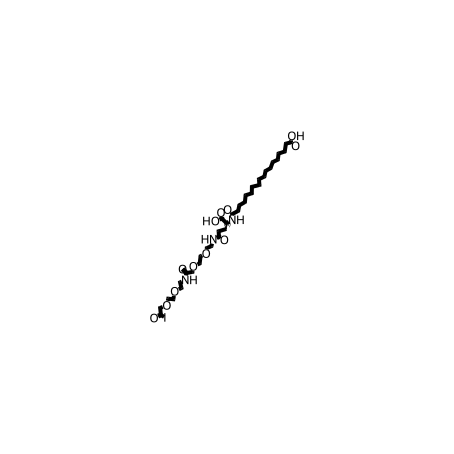 O=C(O)CCCCCCCCCCCCCCCCC(=O)N[C@@H](CCC(=O)NCCOCCOCC(=O)NCCOCCOCC(=O)I)C(=O)O